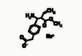 C=CC(C(=O)OC)C(N)c1ccc(CC(=O)[O-])cc1.[Na+]